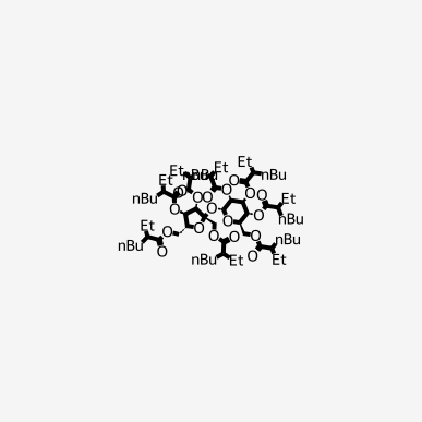 CCCCC(CC)C(=O)OC[C@H]1O[C@@](COC(=O)C(CC)CCCC)(O[C@H]2O[C@H](COC(=O)C(CC)CCCC)[C@@H](OC(=O)C(CC)CCCC)[C@H](OC(=O)C(CC)CCCC)[C@H]2OC(=O)C(CC)CCCC)[C@@H](OC(=O)C(CC)CCCC)[C@@H]1OC(=O)C(CC)CCCC